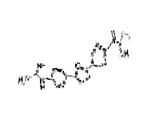 CC(=N)Nc1ccc(-c2ccc(-c3ccc(NC(=N)N)cc3)o2)cc1